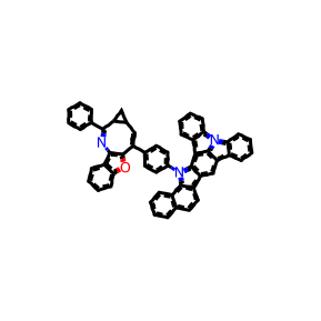 C1=C(/c2ccc(-n3c4c5ccccc5ccc4c4cc5c6ccccc6n6c7ccccc7c(c43)c56)cc2)c2oc3ccccc3c2/N=C(/c2ccccc2)C2CC/12